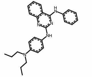 CCCN(CCC)c1ccc(Nc2nc(Nc3ccccc3)c3ccccc3n2)cc1